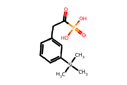 C[Si](C)(C)c1cccc(CC(=O)P(=O)(O)O)c1